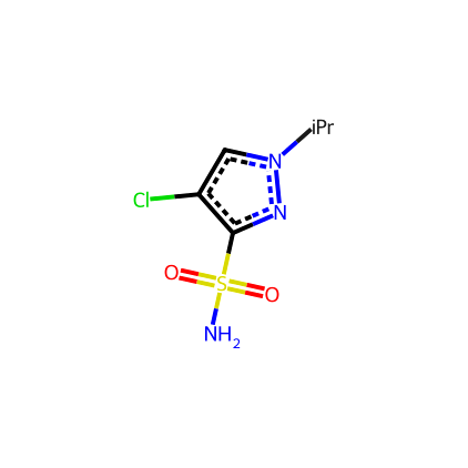 CC(C)n1cc(Cl)c(S(N)(=O)=O)n1